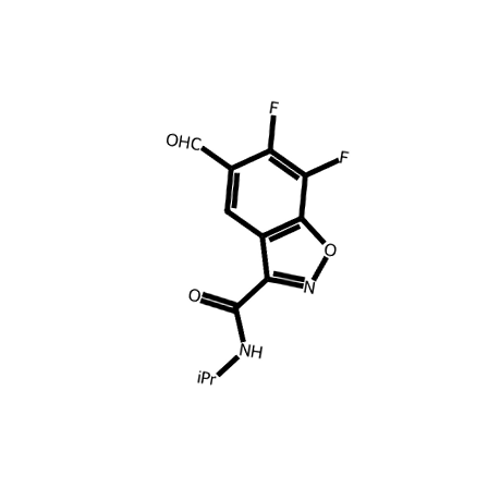 CC(C)NC(=O)c1noc2c(F)c(F)c(C=O)cc12